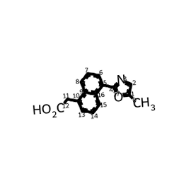 Cc1cnc(-c2cccc3c(CC(=O)O)cccc23)o1